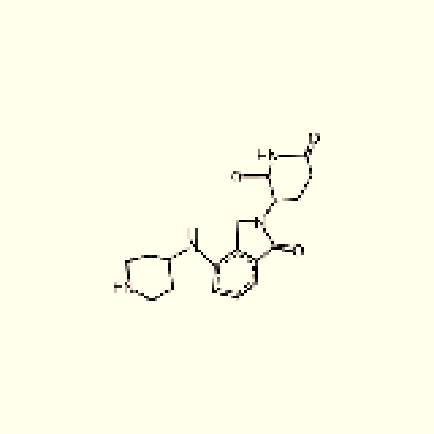 O=C1CCC(N2Cc3c(NC4CCNCC4)cccc3C2=O)C(=O)N1